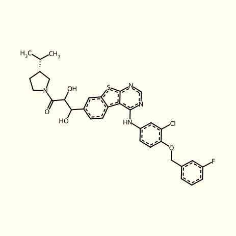 CC(C)[C@H]1CCN(C(=O)C(O)C(O)c2ccc3c(c2)sc2ncnc(Nc4ccc(OCc5cccc(F)c5)c(Cl)c4)c23)C1